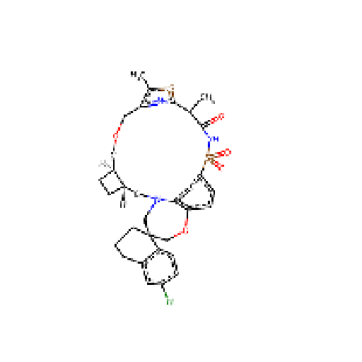 Cc1sc2nc1COC[C@@H]1CC[C@H]1CN1C[C@@]3(CCCc4cc(Cl)ccc43)COc3ccc(cc31)S(=O)(=O)NC(=O)C2C